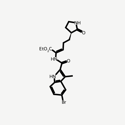 CCOC(=O)C(=CCC[C@H]1CCNC1=O)NC(=O)c1[nH]c2ccc(Br)cc2c1C